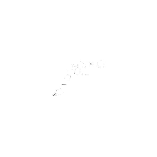 C=C1CO[C@@H](CC[C@@H]2C[C@@H](O)[C@@H](C3C[C@@H](O)C4O[C@@H](CC(=O)C[C@@H]5CCOC5)CC[C@]4(N)O3)O2)C1